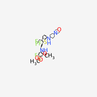 COc1cc(S(C)(=O)=O)c(F)cc1NCC#Cc1sc2c(NC3CCC(N4CCOCC4)CC3)cccc2c1CC(F)(F)F